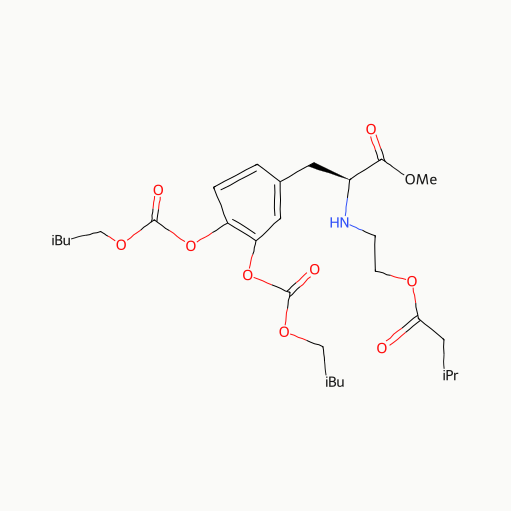 CCC(C)COC(=O)Oc1ccc(C[C@H](NCCOC(=O)CC(C)C)C(=O)OC)cc1OC(=O)OCC(C)CC